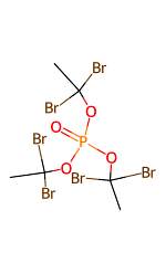 CC(Br)(Br)OP(=O)(OC(C)(Br)Br)OC(C)(Br)Br